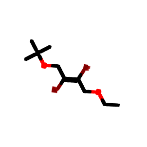 CCOCC(Br)=C(Br)CO[Si](C)(C)C